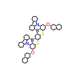 c1ccc2cc(Oc3cc4c5c(c3)-n3c6ccccc6c6cccc(c63)B5c3cc5c(cc3S4)Sc3cc(Oc4ccc6ccccc6c4)cc4c3B5c3cccc5c6ccccc6n-4c35)ccc2c1